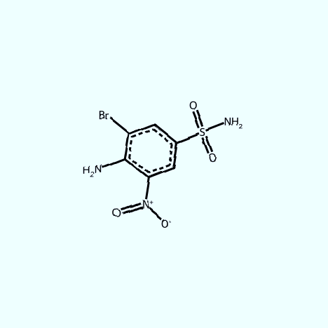 Nc1c(Br)cc(S(N)(=O)=O)cc1[N+](=O)[O-]